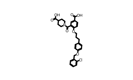 O=C(O)c1ccc(OCCCc2ccc(OCc3ccccc3Cl)cc2)c(C(=O)N2CCC(C(=O)O)CC2)c1